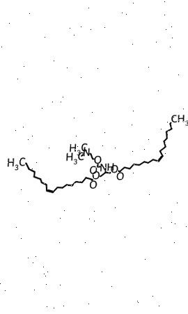 CCCCCCCC/C=C\CCCCCCCC(=O)OCC(COC(=O)CCCCCCC/C=C\CCCCCCCC)NC(=O)OCCN(C)C